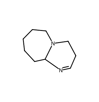 C1=NC2CCCCCN2CC1